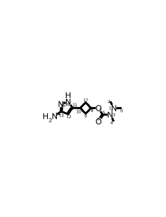 CN(C)N(C)C(=O)OC1CC(c2cc(N)n[nH]2)C1